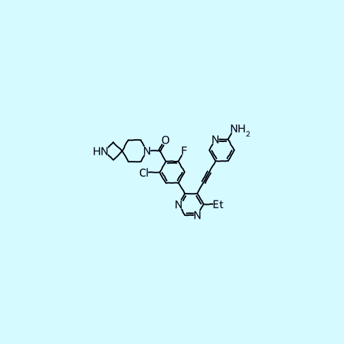 CCc1ncnc(-c2cc(F)c(C(=O)N3CCC4(CC3)CNC4)c(Cl)c2)c1C#Cc1ccc(N)nc1